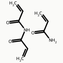 C=CC(=O)NC(=O)C=C.C=CC(N)=O